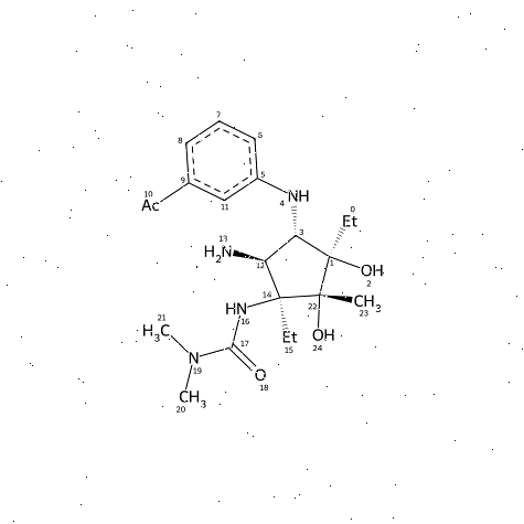 CC[C@@]1(O)[C@@H](Nc2cccc(C(C)=O)c2)[C@H](N)[C@](CC)(NC(=O)N(C)C)[C@@]1(C)O